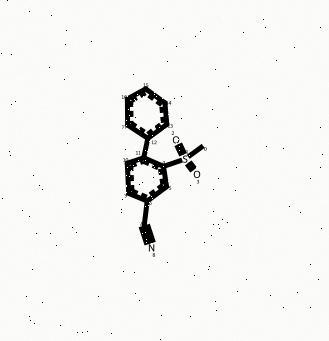 CS(=O)(=O)c1cc(C#N)ccc1-c1ccccc1